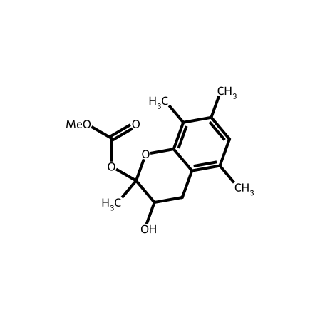 COC(=O)OC1(C)Oc2c(C)c(C)cc(C)c2CC1O